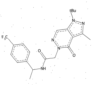 Cc1nn(C(C)(C)C)c2cnn(CC(=O)NC(C)c3ccc(C(F)(F)F)cc3)c(=O)c12